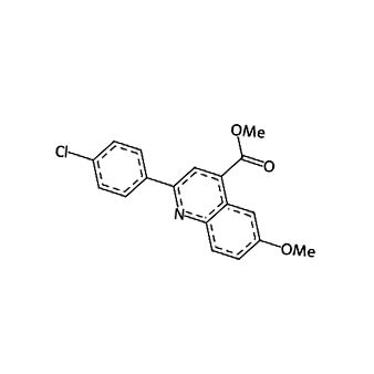 COC(=O)c1cc(-c2ccc(Cl)cc2)nc2ccc(OC)cc12